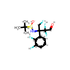 CC(C)(C)[S@@+]([O-])NC(CF)(c1cccc(F)c1F)C(F)(F)C=O